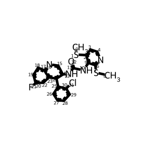 CSc1ccnc(SC)c1NC(=O)Nc1cnc2ccc(F)cc2c1-c1ccccc1Cl